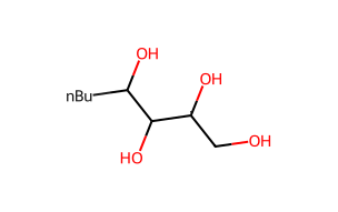 CCCCC(O)C(O)[C](O)CO